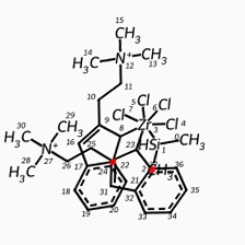 C[SiH](C)[Zr]([Cl])([Cl])([Cl])([Cl])([CH]1C(CC[N+](C)(C)C)=Cc2ccccc21)[CH]1C(CC[N+](C)(C)C)=Cc2ccccc21